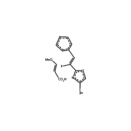 CC(C)c1csc(C(F)=Cc2ccccc2)n1.COC=CC(=O)O